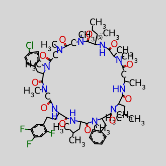 CC[C@H](C)C1NC(=O)C(C)N(C)C(=O)CC(C)NC(=O)C(CC(C)C)N(C)C(=O)C(Cc2ccccc2)N(C)C(=O)C(CC(C)C)NC(=O)C(CCc2cc(F)c(F)cc2F)NC(=O)CN(C)C(=O)C(Cc2ccc(Cl)cc2)N(C)C(=O)CN(C)C(=O)CN(C)C1=O